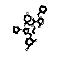 CCC[C@H](CC1(C[C@@H]2CN(Cc3ccc(Cl)cc3Cl)C[C@@H]2c2ccsc2)CCNCC1)C(=O)N1C(=O)OC[C@H]1Cc1ccccc1